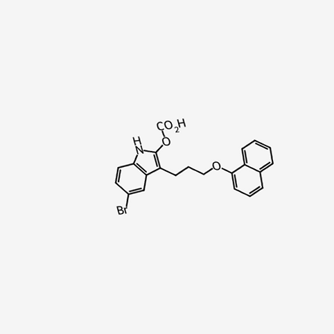 O=C(O)Oc1[nH]c2ccc(Br)cc2c1CCCOc1cccc2ccccc12